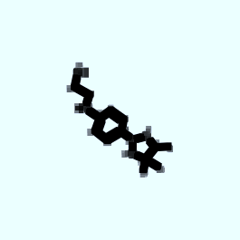 CC1OB(c2ccc(NCCO)cc2)OC1(C)C